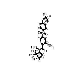 CC(O)(C(=O)N(N)C(=O)c1ncc(S(=O)(=O)c2ccc(OC(F)(F)F)cc2)cc1N)C(F)(F)F